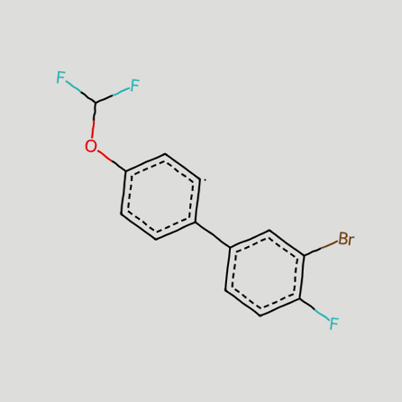 Fc1ccc(-c2[c]cc(OC(F)F)cc2)cc1Br